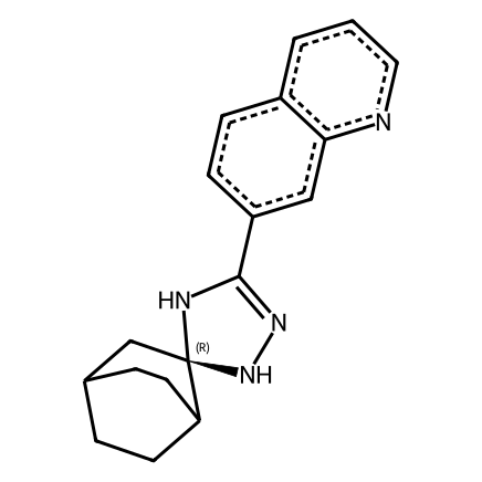 c1cnc2cc(C3=NN[C@@]4(CC5CCC4CC5)N3)ccc2c1